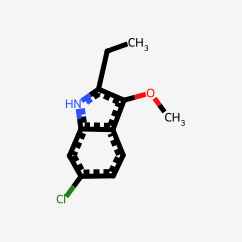 CCc1[nH]c2cc(Cl)ccc2c1OC